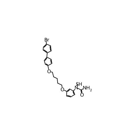 NC(=O)N(S)c1cccc(OCCCCCOc2ccc(-c3ccc(Br)cc3)cc2)c1